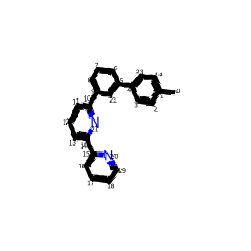 Cc1ccc(-c2cccc(-c3cccc(-c4ccccn4)n3)c2)cc1